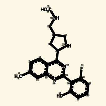 Cc1ccc2c(C3CC(CNC(=O)O)CN3)nc(-c3c(O)cccc3F)nc2c1